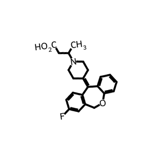 CC(CC(=O)O)N1CCC(=C2c3ccc(F)cc3COc3ccccc32)CC1